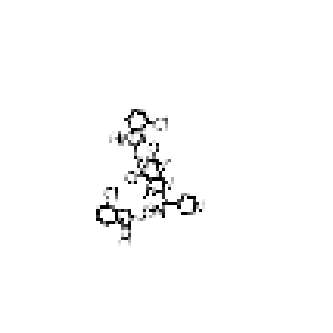 Cn1c(/C(=N\OCc2cc3c(Cl)cccc3[nH]2)c2ccncc2)nc2c1c(=O)n(Cc1cc3c(Cl)cccc3[nH]1)c(=O)n2C